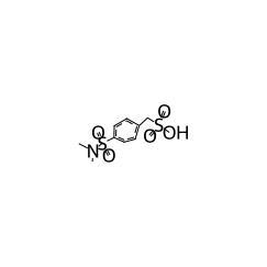 CN(C)S(=O)(=O)c1ccc(CS(=O)(=O)O)cc1